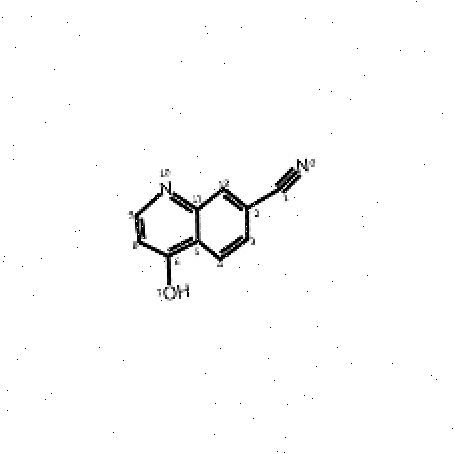 N#Cc1ccc2c(O)ccnc2c1